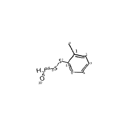 Cc1ccccc1SS[PH2]=O